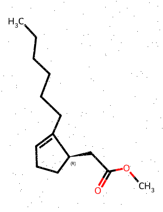 CCCCCCC1=CCC[C@@H]1CC(=O)OC